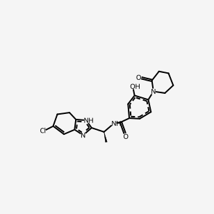 C[C@H](NC(=O)c1ccc(N2CCCCC2=O)c(O)c1)c1nc2c([nH]1)CCC(Cl)=C2